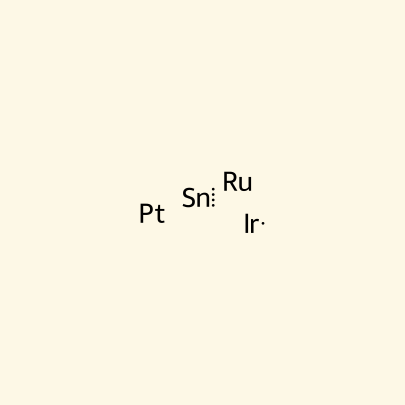 [Ir].[Pt].[Ru].[Sn]